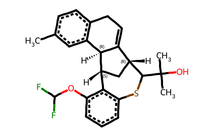 Cc1ccc2c(c1)[C@H]1C(=CC2)[C@H]2C[C@@H]1c1c(OC(F)F)cccc1SC2C(C)(C)O